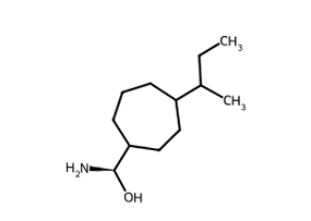 CCC(C)C1CCCC([C@H](N)O)CC1